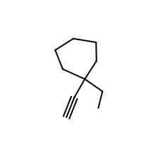 C#CC1(CC)CCCCC1